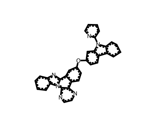 c1ccc(-n2c3ccccc3c3ccc(Oc4ccc5c(c4)c4nc6ccccc6n4c4nccnc54)cc32)nc1